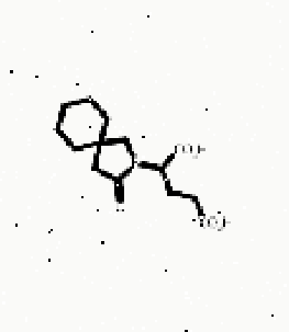 O=C(O)CCC(C(=O)O)N1CC2(CCCCC2)CC1=O